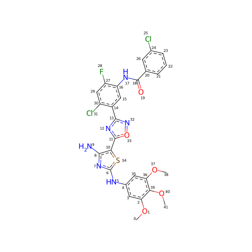 COc1cc(Nc2nc(N)c(-c3nc(-c4cc(NC(=O)c5cccc(Cl)c5)c(F)cc4Cl)no3)s2)cc(OC)c1OC